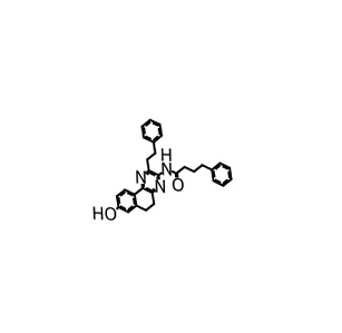 O=C(CCCc1ccccc1)Nc1nc2c(nc1CCc1ccccc1)-c1ccc(O)cc1CC2